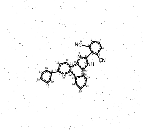 N#Cc1cccc(C#N)c1-c1nc2c3ccc(-c4ccccc4)nc3c3ccccc3c2[nH]1